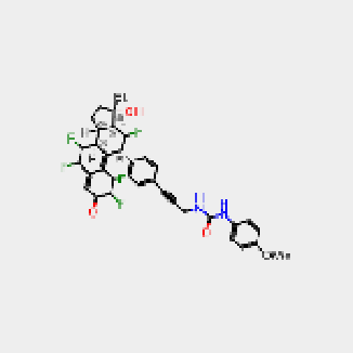 CC[C@]1(O)CC[C@H]2[C@H]3C(=C4C(=CC(=O)C(F)C4F)C(F)C3F)[C@@H](c3ccc(C#CCNC(=O)Nc4ccc(OC)cc4)cc3)C(F)[C@@]21C